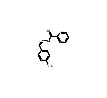 Cc1ccc(/C=N\NC(=N)c2ccccn2)cc1